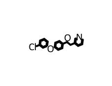 O=C(Cc1cccnc1)c1ccc(Oc2cccc(Cl)c2)cc1